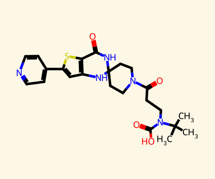 CC(C)(C)N(CCC(=O)N1CCC2(CC1)NC(=O)c1sc(-c3ccncc3)cc1N2)C(=O)O